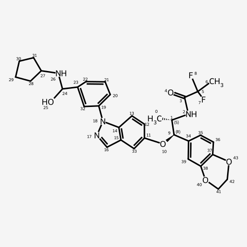 C[C@H](NC(=O)C(C)(F)F)[C@H](Oc1ccc2c(cnn2-c2cccc(C(O)NC3CCCC3)c2)c1)c1ccc2c(c1)OCCO2